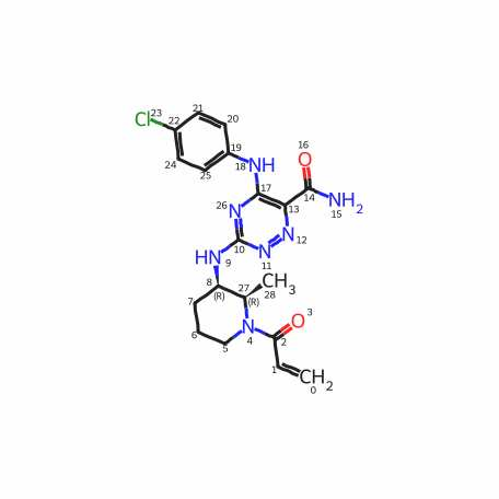 C=CC(=O)N1CCC[C@@H](Nc2nnc(C(N)=O)c(Nc3ccc(Cl)cc3)n2)[C@H]1C